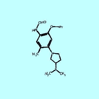 Cc1cc(NC=O)c(OC(C)C)cc1N1CCC(N(C)C)C1